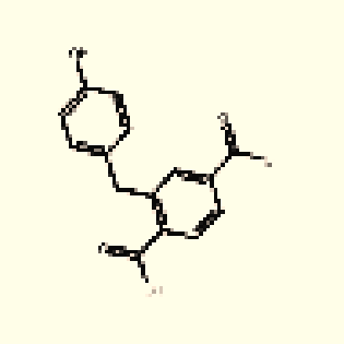 O=C(O)c1ccc(C(=O)O)c(Cc2ccc(O)cc2)c1